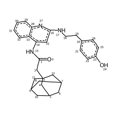 O=C(CC12CC3CC(CC(C3)C1)C2)Nc1cc(NCCc2ccc(O)cc2)nc2ccccc12